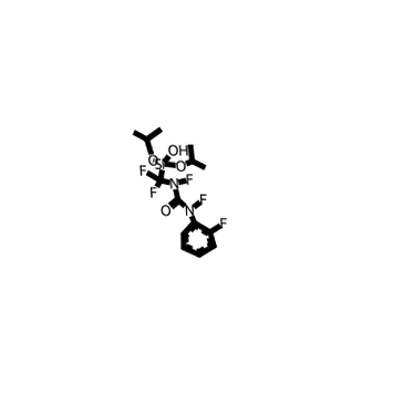 CC(C)O[Si](O)(OC(C)C)C(F)(F)N(F)C(=O)N(F)c1ccccc1F